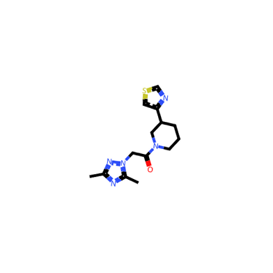 Cc1nc(C)n(CC(=O)N2CCCC(c3cscn3)C2)n1